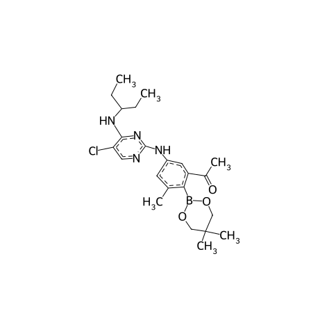 CCC(CC)Nc1nc(Nc2cc(C)c(B3OCC(C)(C)CO3)c(C(C)=O)c2)ncc1Cl